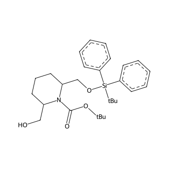 CC(C)(C)OC(=O)N1C(CO)CCCC1CO[Si](c1ccccc1)(c1ccccc1)C(C)(C)C